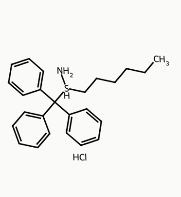 CCCCCC[SH](N)C(c1ccccc1)(c1ccccc1)c1ccccc1.Cl